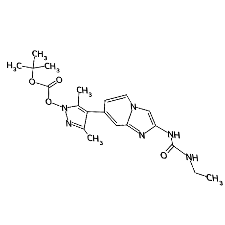 CCNC(=O)Nc1cn2ccc(-c3c(C)nn(OC(=O)OC(C)(C)C)c3C)cc2n1